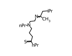 CCCC(=S)CCCN(CCC)CC/N=C(\C)CC(C)C